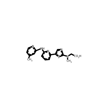 Cc1ccnc(Nc2cccc(-c3cnc(N(C)CC(=O)O)s3)n2)c1